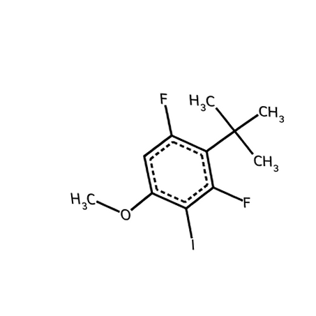 COc1cc(F)c(C(C)(C)C)c(F)c1I